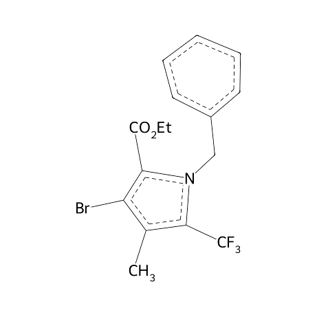 CCOC(=O)c1c(Br)c(C)c(C(F)(F)F)n1Cc1ccccc1